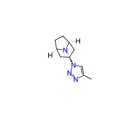 Cc1cn([C@H]2C[C@H]3CC[C@@H](C2)N3C)nn1